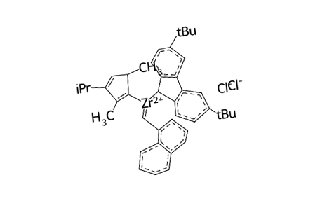 CC1=[C](/[Zr+2](=[CH]/c2cccc3ccccc23)[CH]2c3ccc(C(C)(C)C)cc3-c3cc(C(C)(C)C)ccc32)C(C)C=C1C(C)C.[Cl-].[Cl-]